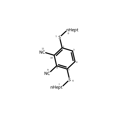 CCCCCCCSc1ccc(SCCCCCCC)c(C#N)c1C#N